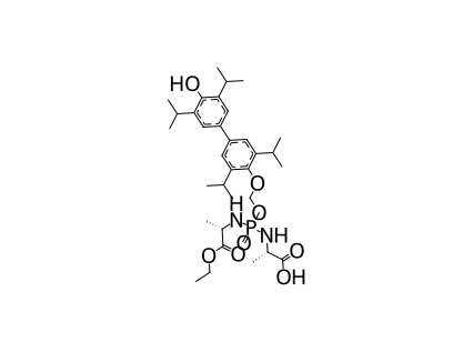 CCOC(=O)[C@H](C)NP(=O)(N[C@@H](C)C(=O)O)OCOc1c(C(C)C)cc(-c2cc(C(C)C)c(O)c(C(C)C)c2)cc1C(C)C